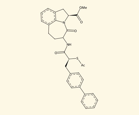 COC(=O)[C@@H]1Cc2cccc3c2N1C(=O)C(NC(=O)[C@H](Cc1ccc(-c2ccccc2)cc1)SC(C)=O)CC3